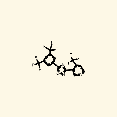 FC(F)(F)c1cc(-c2nc(-c3cnccc3C(F)(F)F)no2)cc(C(F)(F)F)c1